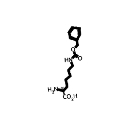 N[C@@H](CCCCCNC(=O)OCc1ccccc1)C(=O)O